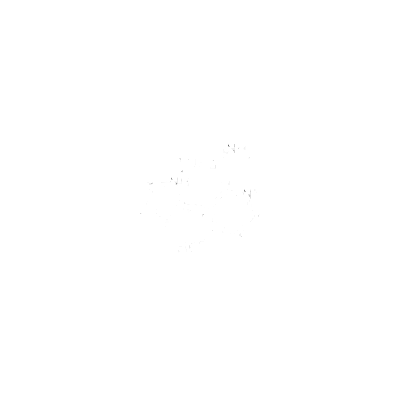 Cl.NC(=O)c1ncccc1-c1ccc[nH]1